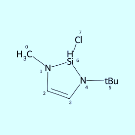 CN1C=CN(C(C)(C)C)[SiH]1Cl